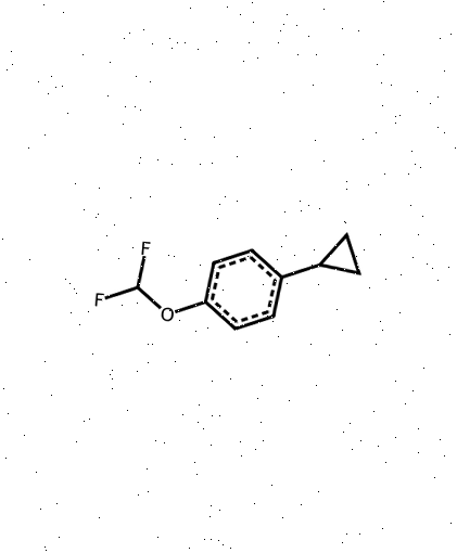 FC(F)Oc1ccc(C2CC2)cc1